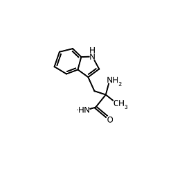 CC(N)(Cc1c[nH]c2ccccc12)C([NH])=O